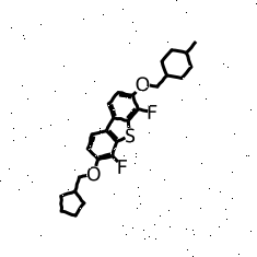 CC1CCC(COc2ccc3c(sc4c(F)c(OCC5CCCC5)ccc43)c2F)CC1